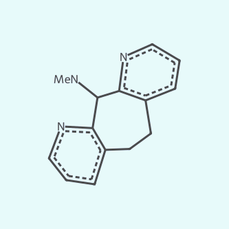 CNC1c2ncccc2CCc2cccnc21